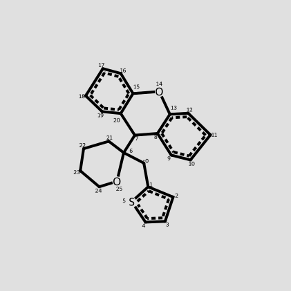 [CH](c1cccs1)C1(C2c3ccccc3Oc3ccccc32)CCCCO1